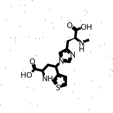 CN[C@@H](Cc1cn(C(CC(N)C(=O)O)c2ccsc2)cn1)C(=O)O